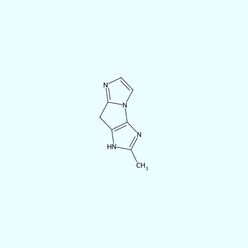 Cc1nc2c([nH]1)Cc1nccn1-2